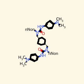 CCCCCCCCCN(C[C@H]1CC[C@@H](CN(CCCCCCCCC)C(=O)Nc2ccc(N(C)C)cc2)CC1)C(=O)Nc1ccc(N(C)C)cc1